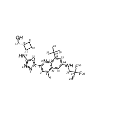 Cc1cc(-c2nnc(N[C@H]3CC[C@H]3CO)o2)nc2c(C(C)(C)C)cc(NCC(F)(F)F)cc12